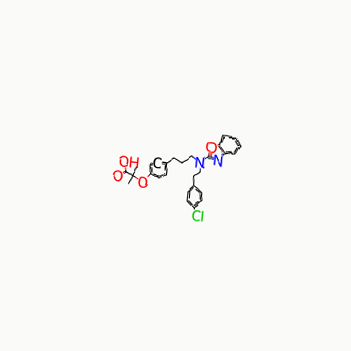 CC(C)(Oc1ccc(CCCN(CCc2ccc(Cl)cc2)c2nc3ccccc3o2)cc1)C(=O)O